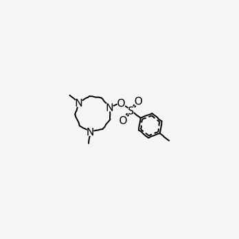 Cc1ccc(S(=O)(=O)ON2CCN(C)CCN(C)CC2)cc1